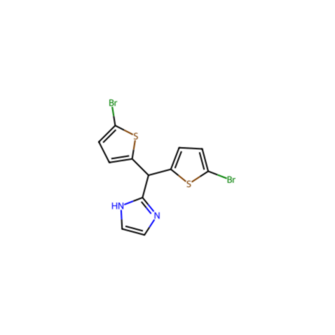 Brc1ccc(C(c2ncc[nH]2)c2ccc(Br)s2)s1